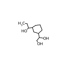 CCC(O)C1CCCC(C(O)CO)C1